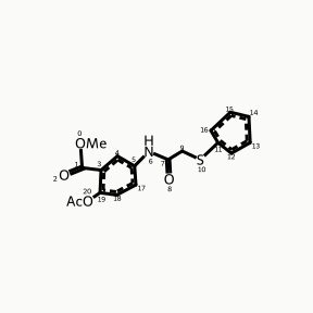 COC(=O)c1cc(NC(=O)CSc2ccccc2)ccc1OC(C)=O